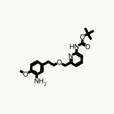 COc1ccc(CCOCc2cccc(NC(=O)OC(C)(C)C)n2)cc1N